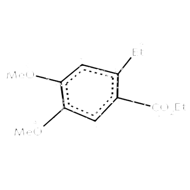 CCOC(=O)c1cc(OC)c(OC)cc1CC